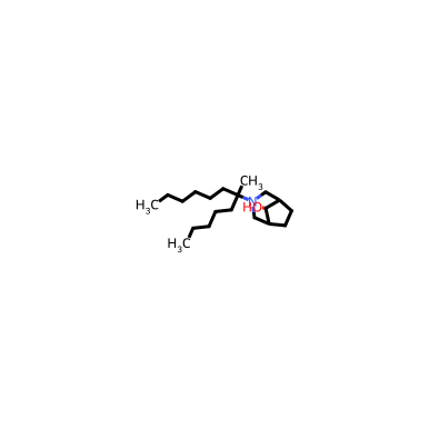 CCCCCCC(C)(CCCCC)N1CC2CCC(C1)C2O